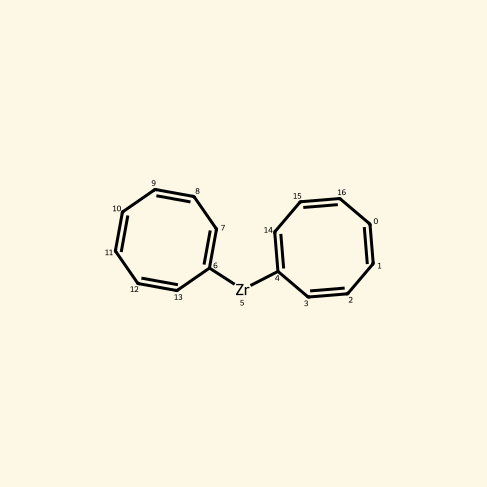 C1=C\C=C/[C]([Zr][C]2=C/C=C\C=C/C=C\2)=C\C=C/1